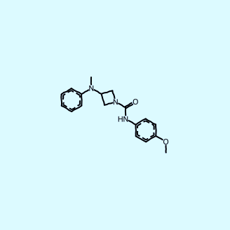 COc1ccc(NC(=O)N2CC(N(C)c3ccccc3)C2)cc1